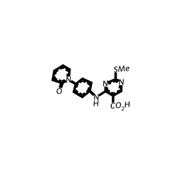 CSc1ncc(C(=O)O)c(Nc2ccc(-n3ccccc3=O)cc2)n1